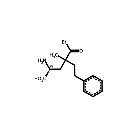 CCC(=O)C(C)(CCc1ccccc1)C[C@H](N)C(=O)O